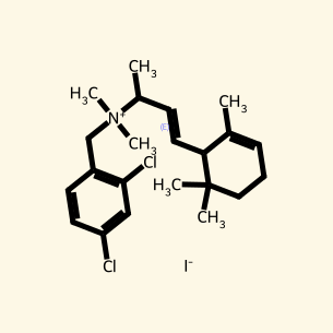 CC1=CCCC(C)(C)C1/C=C/C(C)[N+](C)(C)Cc1ccc(Cl)cc1Cl.[I-]